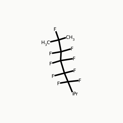 CC(C)C(F)(F)C(F)(F)C(F)(F)C(F)(F)C(C)(C)F